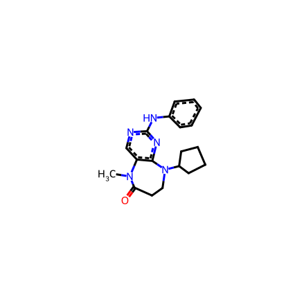 CN1C(=O)CCN(C2CCCC2)c2nc(Nc3ccccc3)ncc21